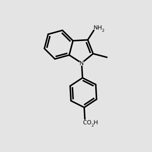 Cc1c(N)c2ccccc2n1-c1ccc(C(=O)O)cc1